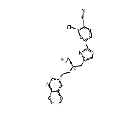 N#Cc1ccc(-c2ccn(C[C@H](N)CCc3cnc4ccccc4c3)n2)cc1Cl